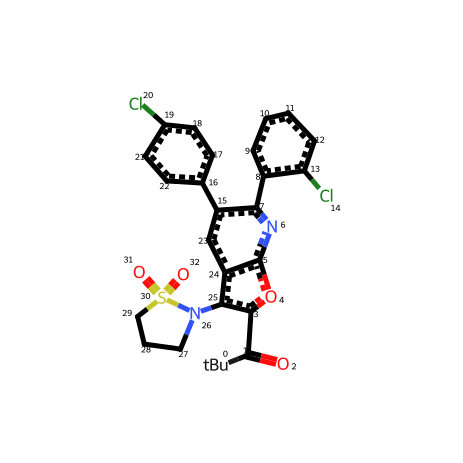 CC(C)(C)C(=O)c1oc2nc(-c3ccccc3Cl)c(-c3ccc(Cl)cc3)cc2c1N1CCCS1(=O)=O